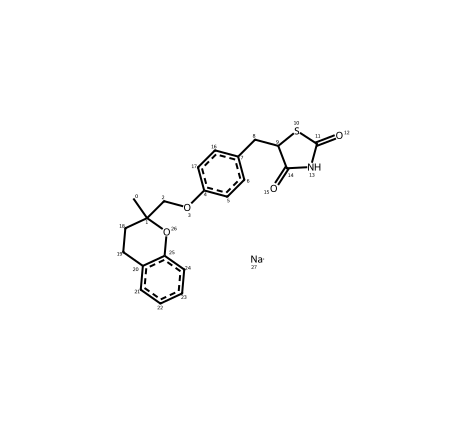 CC1(COc2ccc(CC3SC(=O)NC3=O)cc2)CCc2ccccc2O1.[Na]